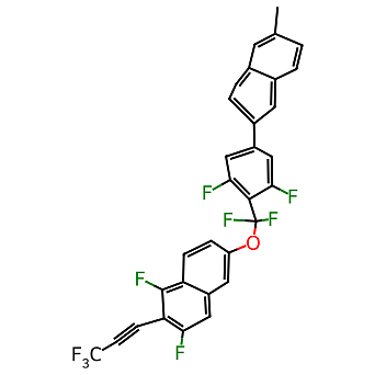 Cc1ccc2cc(-c3cc(F)c(C(F)(F)Oc4ccc5c(F)c(C#CC(F)(F)F)c(F)cc5c4)c(F)c3)ccc2c1